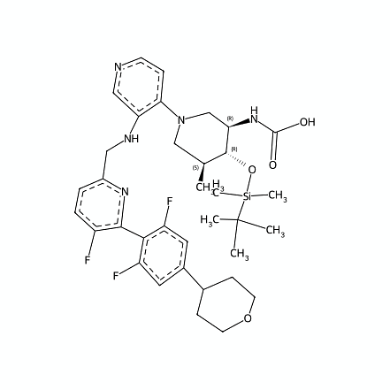 C[C@H]1CN(c2ccncc2NCc2ccc(F)c(-c3c(F)cc(C4CCOCC4)cc3F)n2)C[C@@H](NC(=O)O)[C@@H]1O[Si](C)(C)C(C)(C)C